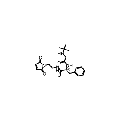 CC(C)(C)NCC(=O)N[C@@H](Cc1ccccc1)C(=O)NCCN1C(=O)C=CC1=O